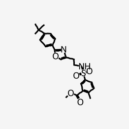 COC(=O)c1cc(S(=O)(=O)NCCc2coc(-c3ccc(C(C)(C)C)cc3)n2)ccc1C